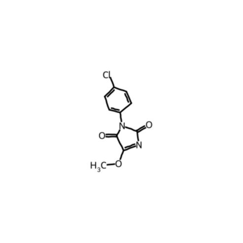 COC1=NC(=O)N(c2ccc(Cl)cc2)C1=O